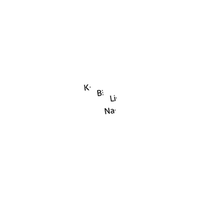 [B].[K].[Li].[Na]